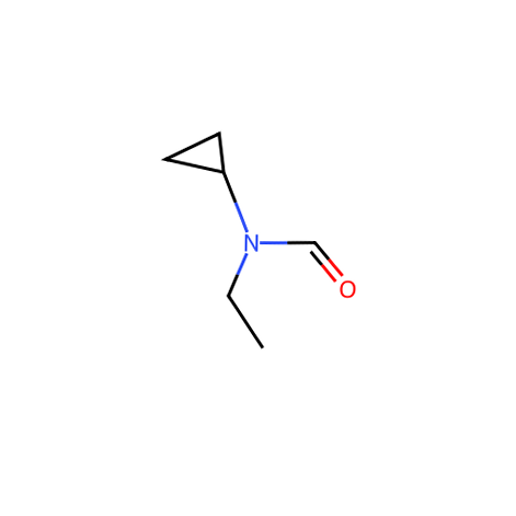 CCN(C=O)C1CC1